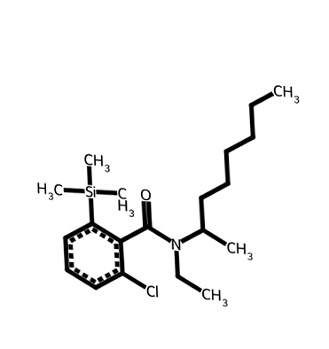 CCCCCCC(C)N(CC)C(=O)c1c(Cl)cccc1[Si](C)(C)C